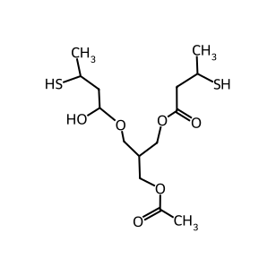 CC(=O)OCC(COC(=O)CC(C)S)COC(O)CC(C)S